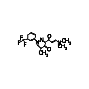 Cc1cn(-c2cccc(C(F)(F)F)c2)nc(C(=O)C=CN(C)C)c1=O